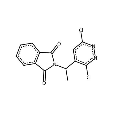 CC(c1cc(Cl)nnc1Cl)N1C(=O)c2ccccc2C1=O